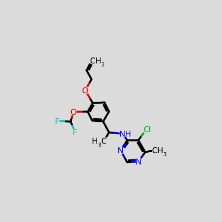 C=CCOc1ccc(C(C)Nc2ncnc(C)c2Cl)cc1OC(F)F